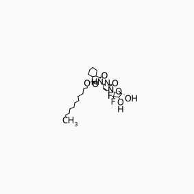 CCCCCCCCCCCOC(=O)C1CCCCC1C(=O)Nc1ccn([C@@H]2O[C@H](CO)[C@@H](O)C2(F)F)c(=O)n1